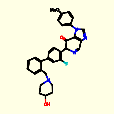 COc1ccc(-n2cnc3c2C(=O)C(c2ccc(-c4ccccc4CN4CCC(O)CC4)cc2F)N=C3)cc1